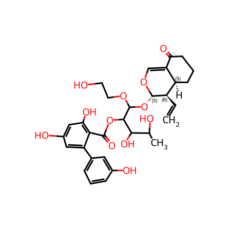 C=C[C@H]1[C@H](OC(OCCO)C(OC(=O)c2c(O)cc(O)cc2-c2cccc(O)c2)C(O)C(C)O)OC=C2C(=O)CCC[C@H]21